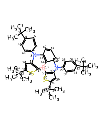 CC(C)(C)c1ccc(N2c3cc([Si](C)(C)C)sc3B3c4sc([Si](C)(C)C)cc4N(c4ccc(C(C)(C)C)cc4)c4cccc2c43)cc1